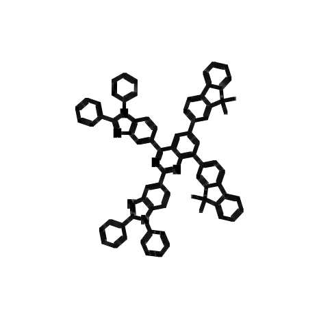 CC1(C)c2ccccc2-c2ccc(-c3cc(-c4ccc5c(c4)C(C)(C)c4ccccc4-5)c4nc(-c5ccc6c(c5)nc(-c5ccccc5)n6-c5ccccc5)nc(-c5ccc6c(c5)nc(-c5ccccc5)n6-c5ccccc5)c4c3)cc21